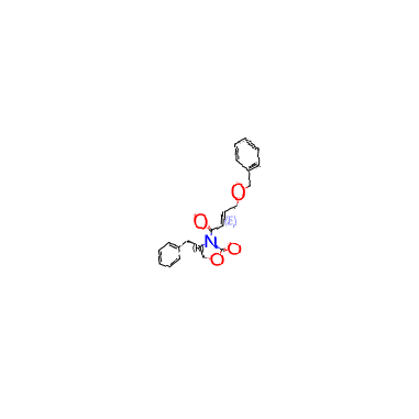 O=C(/C=C/COCc1ccccc1)N1C(=O)OC[C@H]1Cc1ccccc1